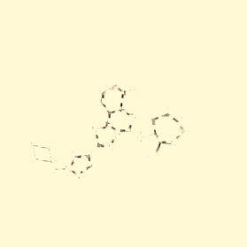 O=c1nccccc1Nc1nc2c(C(F)(F)F)cccc2c2nc(-c3cnn(CC4CCC4)c3)nn12